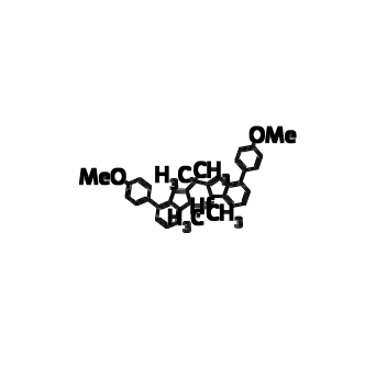 COc1ccc(-c2cccc3c2C=C2[CH]3[Hf]([CH3])([CH3])[CH]3C(=Cc4c(-c5ccc(OC)cc5)cccc43)C2(C)C)cc1